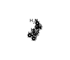 COC(=O)N[C@H](C(=O)N[C@@H](C)CCC[C@@H](C(=O)O)N(C(C)C)S(=O)(=O)c1ccc(N)cc1)C(c1ccccc1)c1ccccc1